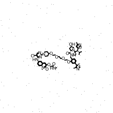 CNC(=O)COc1cc2cc(Nc3nc(N4CCC(OCCOCCOCCOc5cc(-c6scnc6C)ccc5CNC(=O)[C@@H]5C[C@@H](O)CN5C(=O)[C@@H](c5cc(C)no5)C(C)C)CC4)ncc3Cl)ccc2n(C)c1=O